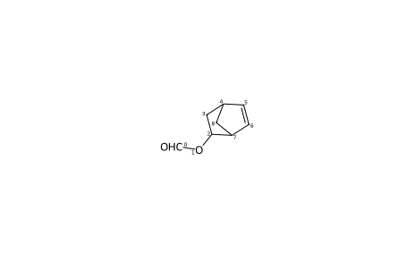 O=COC1CC2C=CC1C2